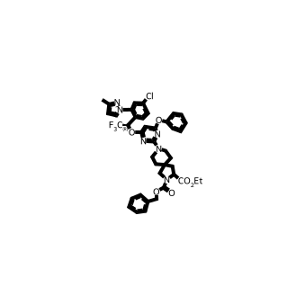 CCOC(=O)C1CC2(CCN(c3nc(Oc4ccccc4)cc(O[C@H](c4ccc(Cl)cc4-n4ccc(C)n4)C(F)(F)F)n3)CC2)CN1C(=O)OCc1ccccc1